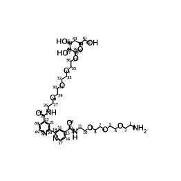 NCCOCCOCCOCCNC(=O)c1ccnc(-c2cc(C(=O)NCCOCCOCCOCCO[C@@H]3O[C@H](CO)C[C@H](O)[C@H]3O)ccn2)c1